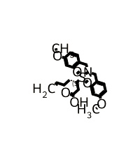 C=CCC[C@@H](CC(=O)O)S(=O)(=O)N(Cc1ccc(OC)cc1)Cc1ccc(OC)cc1